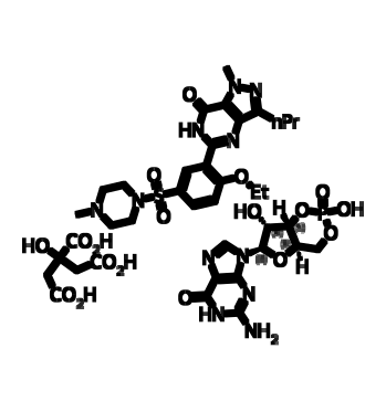 CCCc1nn(C)c2c(=O)[nH]c(-c3cc(S(=O)(=O)N4CCN(C)CC4)ccc3OCC)nc12.Nc1nc2c(ncn2[C@@H]2O[C@@H]3COP(=O)(O)O[C@H]3[C@H]2O)c(=O)[nH]1.O=C(O)CC(O)(CC(=O)O)C(=O)O